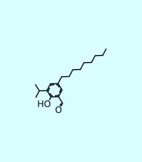 CCCCCCCCCc1cc(C=O)c(O)c(C(C)C)c1